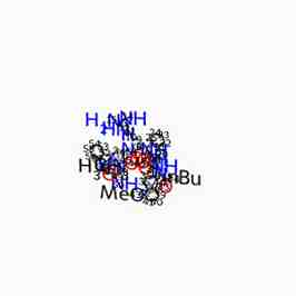 C/C=C(/C[C@H](NC(=O)[C@H](CCCNC(=N)N)NC(=O)[C@@H](Cc1ccccc1)NC(=O)C1(NC(=O)CCCC)CCc2c(cccc2OC)C1)C(=O)NCC(N)=O)c1ccccc1C